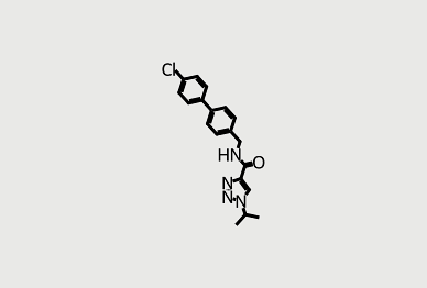 CC(C)n1cc(C(=O)NCc2ccc(-c3ccc(Cl)cc3)cc2)nn1